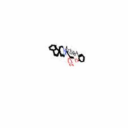 CC(=O)Nc1ccccc1OC[C@H](O)CN1CCC2(CCc3ccccc32)CC1